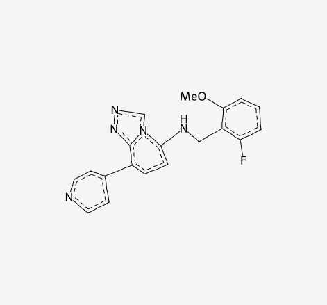 COc1cccc(F)c1CNc1ccc(-c2ccncc2)c2nncn12